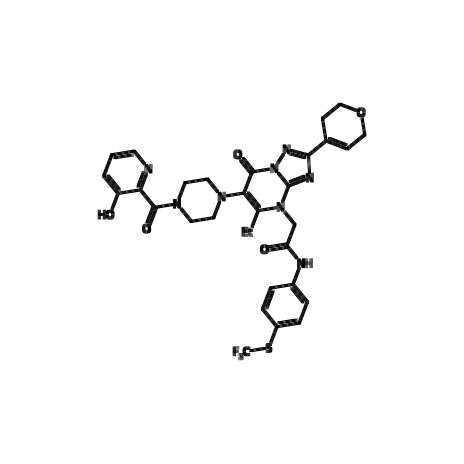 CCc1c(N2CCN(C(=O)c3ncccc3O)CC2)c(=O)n2nc(C3=CCOCC3)nc2n1CC(=O)Nc1ccc(SC(F)(F)F)cc1